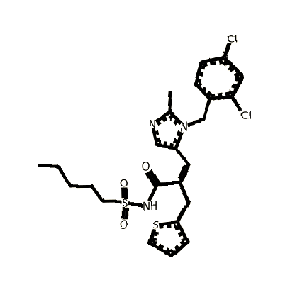 CCCCCS(=O)(=O)NC(=O)C(=Cc1cnc(C)n1Cc1ccc(Cl)cc1Cl)Cc1cccs1